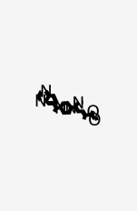 C=N/C(=C\C=C(/C)C(=O)OC)N1CCN(C(C)c2ccc3nccnc3c2)CC1